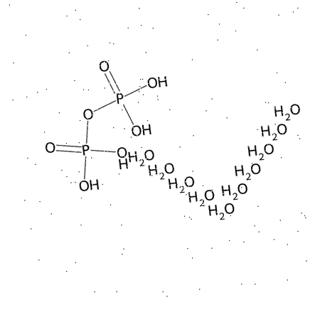 O.O.O.O.O.O.O.O.O.O.O=P(O)(O)OP(=O)(O)O